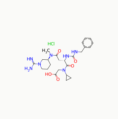 CN(C(=O)C[C@H](NC(=O)NCc1ccccc1)C(=O)N(CC(=O)O)C1CC1)[C@H]1CCCN(C(=N)N)C1.Cl